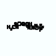 Cc1nc2cc(OC[C@H](O)CN3CCN(c4ccc(C(F)(F)F)cn4)CC3)ccc2s1